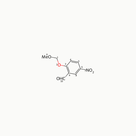 COCOc1ccc([N+](=O)[O-])cc1C=O